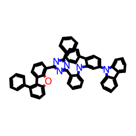 c1ccc(-c2nc(-c3ccccc3-n3c4ccccc4c4ccc(-n5c6ccccc6c6ccccc65)cc43)nc(-c3cccc4c3oc3cccc(-c5ccccc5)c34)n2)cc1